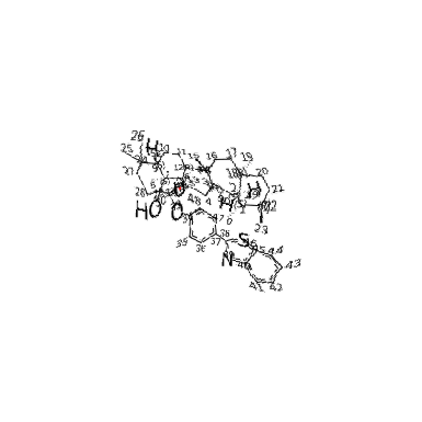 C[C@@H]1[C@H]2[C@H]3CC[C@@H]4[C@]5(C)[C@@H](CC[C@@]4(C)[C@]3(C)CC[C@@]2(C)CC[C@H]1C)C(C)(C)CCC5(O)C(=O)Oc1ccc(-c2nc3ccccc3s2)cc1